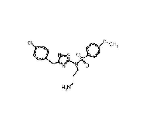 COc1ccc(S(=O)(=O)N(CCCN)c2nc(Cc3ccc(Cl)cc3)ns2)cc1